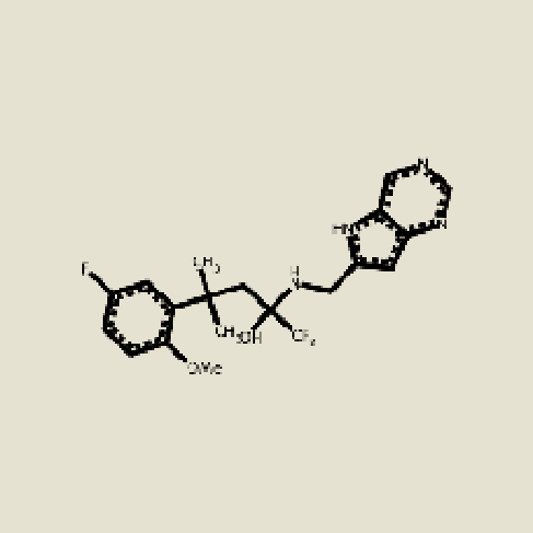 COc1ccc(F)cc1C(C)(C)CC(O)(NCc1cc2ncncc2[nH]1)C(F)(F)F